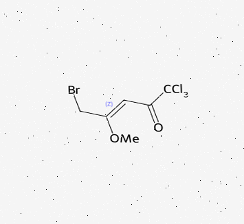 CO/C(=C\C(=O)C(Cl)(Cl)Cl)CBr